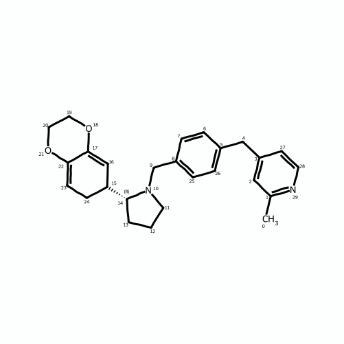 Cc1cc(Cc2ccc(CN3CCC[C@@H]3C3C=C4OCCOC4=CC3)cc2)ccn1